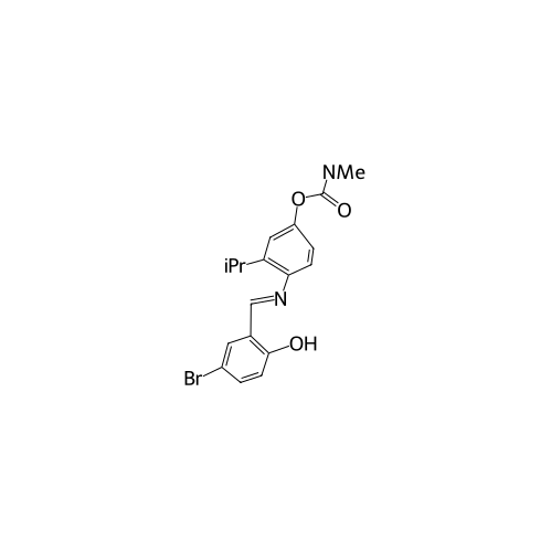 CNC(=O)Oc1ccc(N=Cc2cc(Br)ccc2O)c(C(C)C)c1